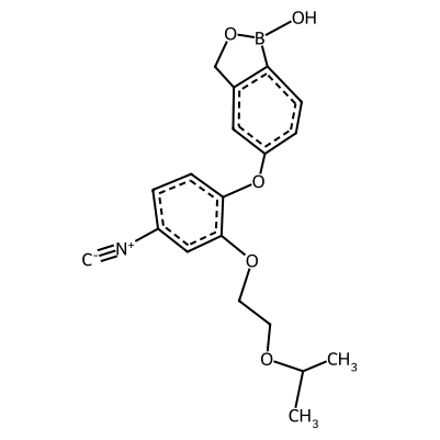 [C-]#[N+]c1ccc(Oc2ccc3c(c2)COB3O)c(OCCOC(C)C)c1